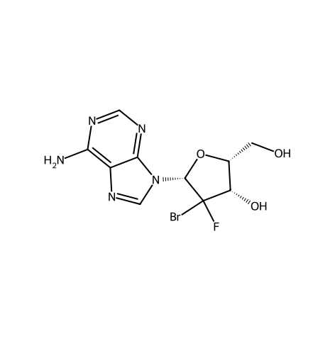 Nc1ncnc2c1ncn2[C@@H]1O[C@H](CO)[C@H](O)C1(F)Br